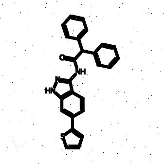 O=C(Nc1n[nH]c2cc(-c3cccs3)ccc12)C(c1ccccc1)c1ccccc1